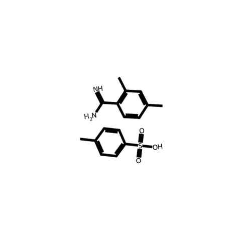 Cc1ccc(C(=N)N)c(C)c1.Cc1ccc(S(=O)(=O)O)cc1